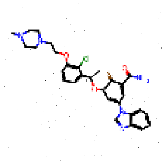 C[C@@H](OC1C=C(n2cnc3ccccc32)C=C(C(N)=O)C1=S)c1cccc(OCCN2CCN(C)CC2)c1Cl